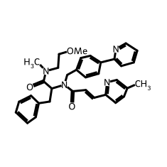 COCCN(C)C(=O)C(Cc1ccccc1)N(Cc1ccc(-c2ccccn2)cc1)C(=O)C=Cc1ccc(C)cn1